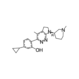 Cc1c(-c2ccc(C3CC3)cc2O)nnc2c1CCN2[C@@H]1CCCN(C)C1